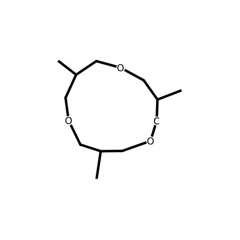 CC1COCC(C)COCC(C)COC1